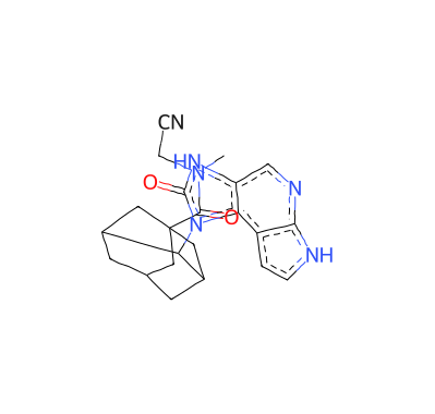 CN(CC#N)C(=O)C12CC3CC(C1)C(n1c(=O)[nH]c4cnc5[nH]ccc5c41)C(C3)C2